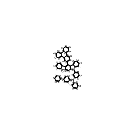 c1ccc(-c2ccc(N(c3ccccc3)c3cccc(-n4c5ccccc5c5c(-c6ccc7c8ccccc8c8ccccc8c7c6)c6c(cc54)oc4ccccc46)c3)cc2)cc1